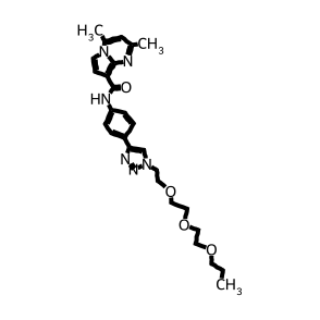 CCCOCCOCCOCCn1cc(-c2ccc(NC(=O)c3ccn4c(C)cc(C)nc34)cc2)nn1